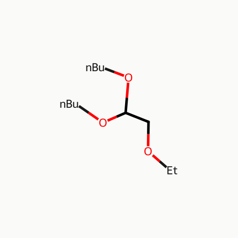 [CH2]COCC(OCCCC)OCCCC